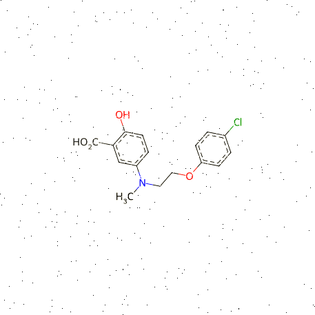 CN(CCOc1ccc(Cl)cc1)c1ccc(O)c(C(=O)O)c1